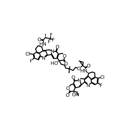 CC[C@@]1(O)C(=O)OCc2c1cc1n(c2=O)Cc2c-1nc1cc(F)c(Cl)c3c1c2[C@@H](NC(=O)C1(OCCC(C)(C)CCC[C@@]2(O)C(=O)OCc4c2cc2n(c4=O)Cc4c-2nc2cc(F)c(Cl)c5c2c4[C@@H](NC(=O)[C@@H](C)C(F)(F)F)CC5)CC1)CC3